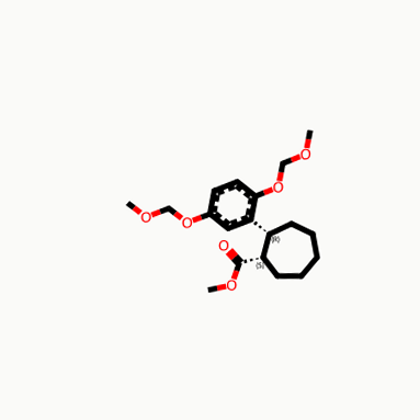 COCOc1ccc(OCOC)c([C@@H]2CCCCC[C@@H]2C(=O)OC)c1